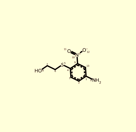 Nc1ccc(SCCO)c([N+](=O)[O-])c1